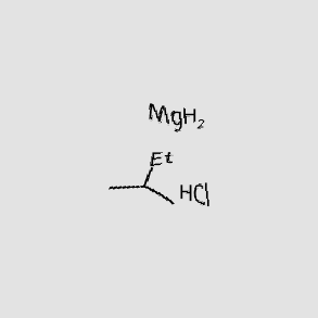 CCC(C)C.Cl.[MgH2]